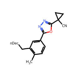 CCCCCCCCCCCc1cc(-c2nnc(C3(C#N)CC3)o2)ccc1C